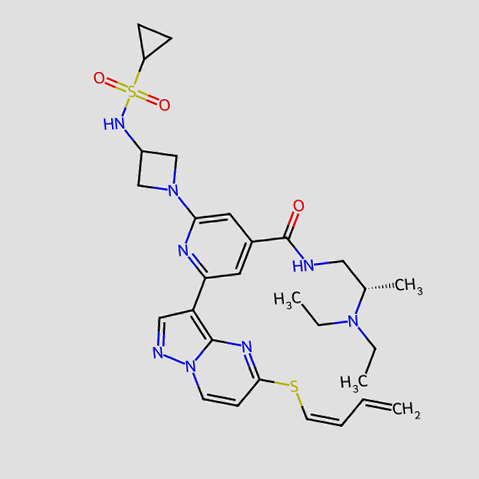 C=C/C=C\Sc1ccn2ncc(-c3cc(C(=O)NC[C@H](C)N(CC)CC)cc(N4CC(NS(=O)(=O)C5CC5)C4)n3)c2n1